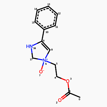 CC(=O)OCC[N+]1([O-])C=C(c2ccccc2)NC1